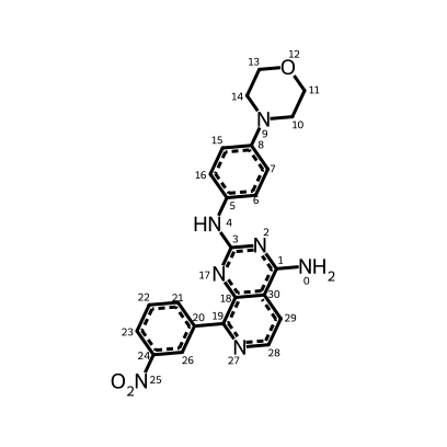 Nc1nc(Nc2ccc(N3CCOCC3)cc2)nc2c(-c3cccc([N+](=O)[O-])c3)nccc12